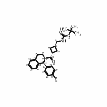 CC(C)(C)OC(=O)NC[C@H]1C[C@H](C(=O)N2CCc3ccccc3[C@@H]2c2ccc(F)cc2)C1